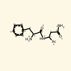 CC(=O)C(CC(N)=O)NC(=O)C(N)Cc1ccccc1